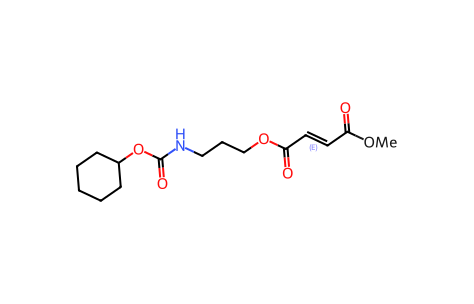 COC(=O)/C=C/C(=O)OCCCNC(=O)OC1CCCCC1